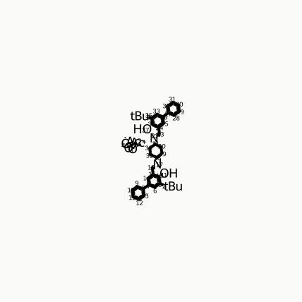 CC(=O)[O-].CC(=O)[O-].CC(C)(C)c1cc(-c2ccccc2)cc(C=NC2CCC(N=Cc3cc(-c4ccccc4)cc(C(C)(C)C)c3O)CC2)c1O.[Co+2]